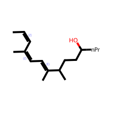 C\C=C/C(C)=C\C=C(/C)C(C)CCC(O)CCC